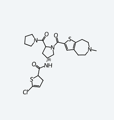 CN1CCc2cc(C(=O)N3C[C@H](NC(=O)C4CC=C(Cl)S4)CC3C(=O)N3CCCC3)sc2CC1